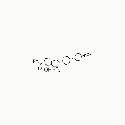 CCCC1CCC(C2CCC(CCc3ccc(C(=O)CC)c(O)c3C(F)(F)F)CC2)CC1